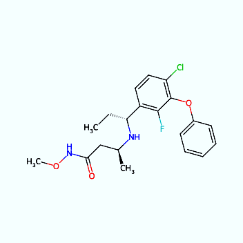 CC[C@@H](N[C@@H](C)CC(=O)NOC)c1ccc(Cl)c(Oc2ccccc2)c1F